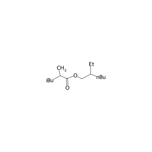 CCCCC(CC)COC(=O)C(C)C(C)CC